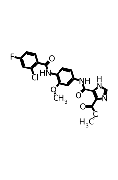 COC(=O)c1nc[nH]c1C(=O)Nc1ccc(NC(=O)c2ccc(F)cc2Cl)c(OC)c1